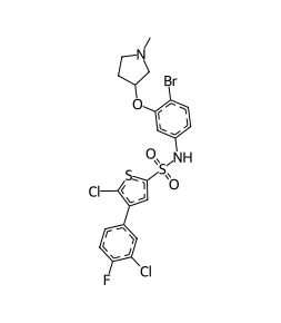 CN1CCC(Oc2cc(NS(=O)(=O)c3cc(-c4ccc(F)c(Cl)c4)c(Cl)s3)ccc2Br)C1